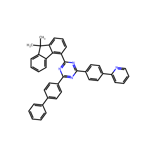 CC1(C)c2ccccc2-c2c(-c3nc(-c4ccc(-c5ccccc5)cc4)nc(-c4ccc(-c5ccccn5)cc4)n3)cccc21